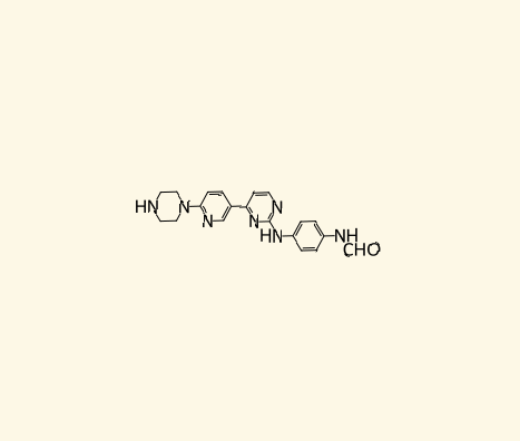 O=CNc1ccc(Nc2nccc(-c3ccc(N4CCNCC4)nc3)n2)cc1